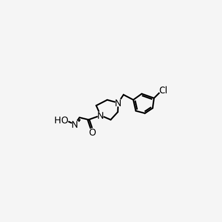 O=C(C=NO)N1CCN(Cc2cccc(Cl)c2)CC1